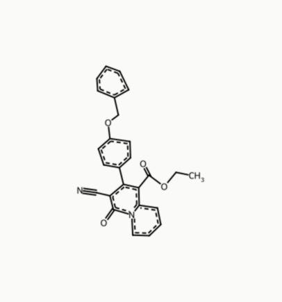 CCOC(=O)c1c(-c2ccc(OCc3ccccc3)cc2)c(C#N)c(=O)n2ccccc12